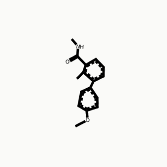 CNC(=O)c1cccc(-c2ccc(OC)cc2)c1C